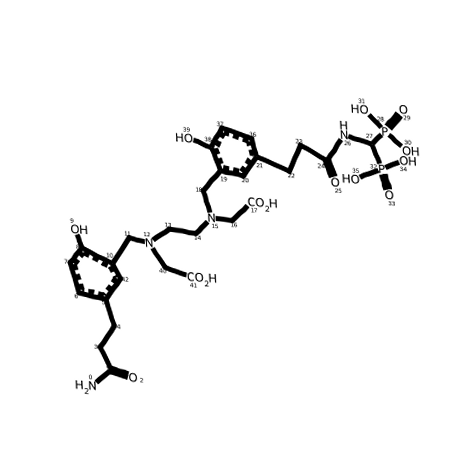 NC(=O)CCc1ccc(O)c(CN(CCN(CC(=O)O)Cc2cc(CCC(=O)NC(P(=O)(O)O)P(=O)(O)O)ccc2O)CC(=O)O)c1